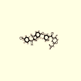 C[C@H]1CO[C@@H](CN(C)C)CN1C(=O)c1cc(Oc2ccc3c(c2)nc(Nc2ccc(Cl)cc2)n3C)ccn1